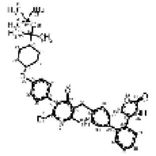 CCCc1nc(CC)n(-c2ccc(O[C@H]3CC[C@H](C(C)(C)O[Si](C)(C)C(C)(C)C)CC3)cc2)c(=O)c1Cc1ccc(-c2ccccc2-c2noc(=O)[nH]2)cc1